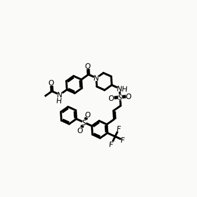 CC(=O)Nc1ccc(C(=O)N2CCC(NS(=O)(=O)CC=Cc3cc(S(=O)(=O)c4ccccc4)ccc3C(F)(F)F)CC2)cc1